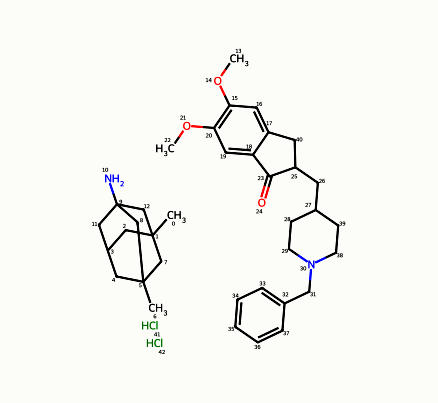 CC12CC3CC(C)(C1)CC(N)(C3)C2.COc1cc2c(cc1OC)C(=O)C(CC1CCN(Cc3ccccc3)CC1)C2.Cl.Cl